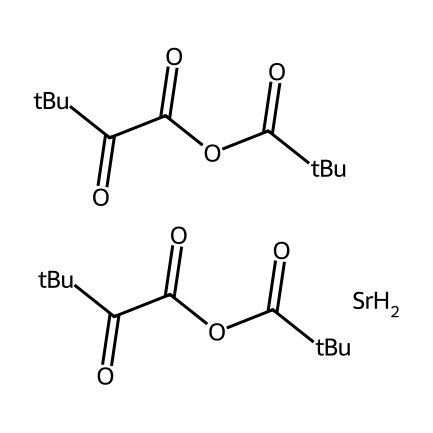 CC(C)(C)C(=O)OC(=O)C(=O)C(C)(C)C.CC(C)(C)C(=O)OC(=O)C(=O)C(C)(C)C.[SrH2]